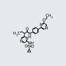 CCOc1cncc(-c2ccc(NC(=O)C(CC)c3cncc(NS(=O)(=O)C4CC4)n3)cc2)n1